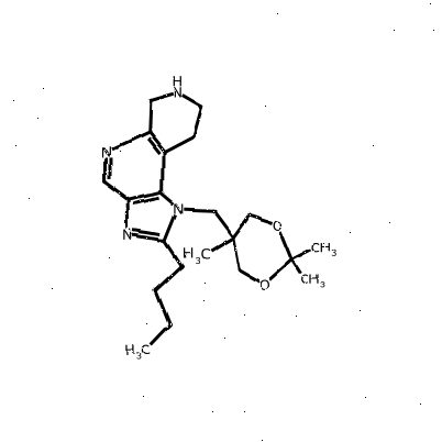 CCCCc1nc2cnc3c(c2n1CC1(C)COC(C)(C)OC1)CCNC3